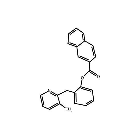 Cc1cccnc1Cc1ccccc1OC(=O)c1ccc2ccccc2c1